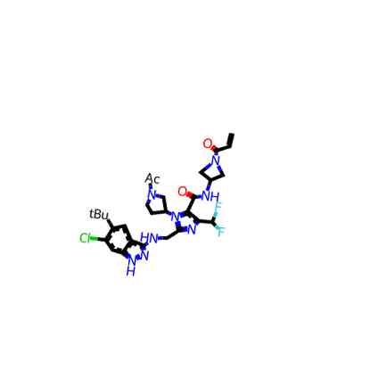 C=CC(=O)N1CC(NC(=O)c2c(C(F)F)nc(CNc3n[nH]c4cc(Cl)c(C(C)(C)C)cc34)n2C2CCN(C(C)=O)C2)C1